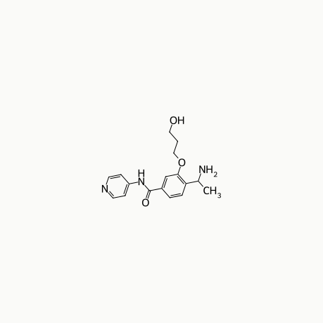 CC(N)c1ccc(C(=O)Nc2ccncc2)cc1OCCCO